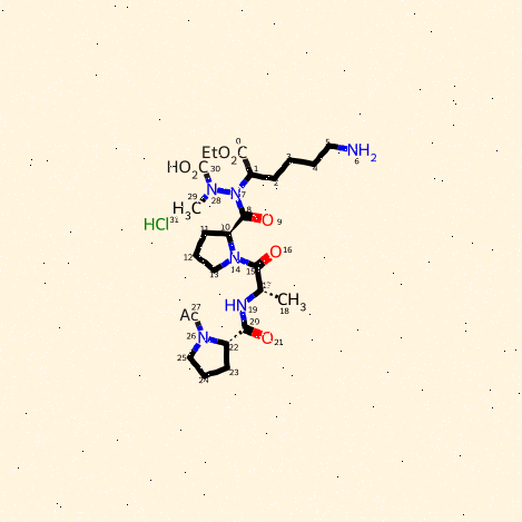 CCOC(=O)C(CCCCN)N(C(=O)[C@@H]1CCCN1C(=O)[C@H](C)NC(=O)[C@@H]1CCCN1C(C)=O)N(C)C(=O)O.Cl